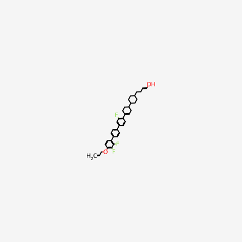 C=CCOc1ccc(-c2ccc(-c3ccc(C4=CCC(C5CCC(CC/C=C/O)CC5)CC4)c(F)c3)cc2)c(F)c1F